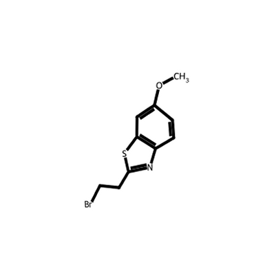 COc1ccc2nc(CCBr)sc2c1